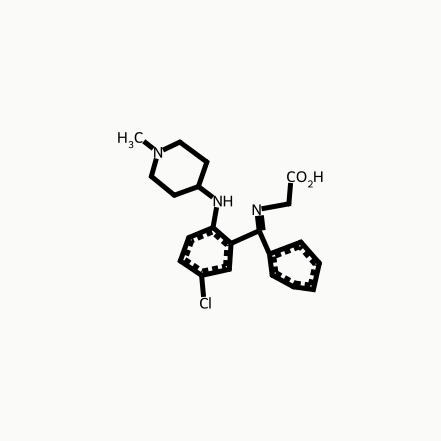 CN1CCC(Nc2ccc(Cl)cc2C(=NCC(=O)O)c2ccccc2)CC1